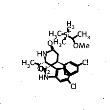 C=C(C)[C@@H]1NC(=O)C[C@@H](c2cccc(Cl)c2)[C@]12C(=O)Nc1cc(Cl)ccc12.COC(C)[Si](C)(C)C